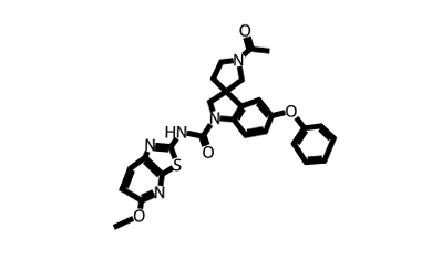 COc1ccc2nc(NC(=O)N3CC4(CCN(C(C)=O)C4)c4cc(Oc5ccccc5)ccc43)sc2n1